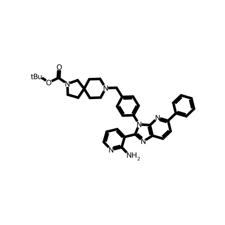 CC(C)(C)OC(=O)N1CCC2(CCN(Cc3ccc(-n4c(-c5cccnc5N)nc5ccc(-c6ccccc6)nc54)cc3)CC2)C1